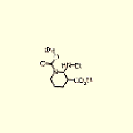 CCNC1C(C(=O)OCC)CCCN1C(=O)OC(C)(C)C